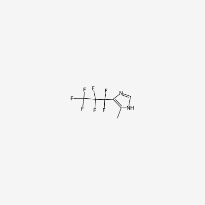 Cc1[nH]cnc1C(F)(F)C(F)(F)C(F)(F)F